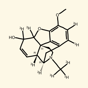 [2H]c1c([2H])c(OC)c2c3c1C[C@@]1([2H])N(C([2H])([2H])[2H])CC[C@@]34C([2H])(O2)C([2H])(O)C=C[C@@]14[2H]